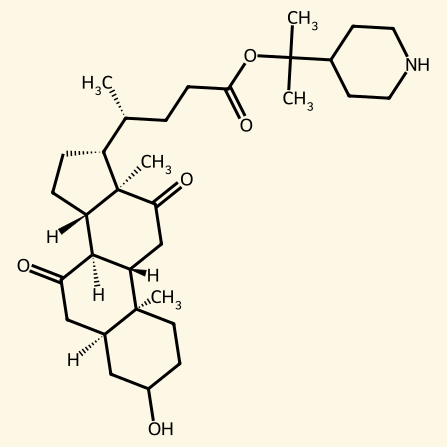 C[C@H](CCC(=O)OC(C)(C)C1CCNCC1)[C@H]1CC[C@H]2[C@@H]3C(=O)C[C@@H]4CC(O)CC[C@]4(C)[C@H]3CC(=O)[C@]12C